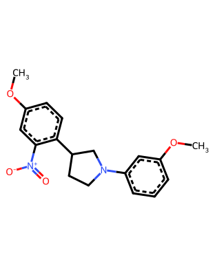 COc1cccc(N2CCC(c3ccc(OC)cc3[N+](=O)[O-])C2)c1